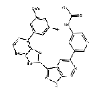 CCCCC(=O)Nc1cncc(-c2cc3c(-c4nc5c(-c6cc(F)cc(OC)c6)ccnc5[nH]4)n[nH]c3cn2)c1